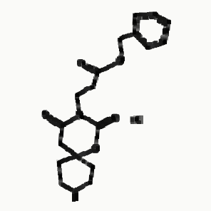 Cl.O=C(CCN1C(=O)CC2(CCNCC2)OC1=O)OCc1ccccc1